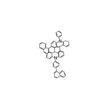 C1=CC(C2=CCC(c3ccccc3N(c3ccccc3)c3ccc(-c4cccc5ccccc45)cc3)C=C2)=C(N(c2ccccc2)c2ccc(-c3cccc4ccccc34)cc2)CC1